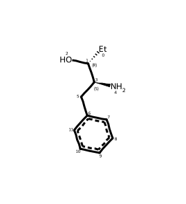 CC[C@@H](O)[C@@H](N)Cc1ccccc1